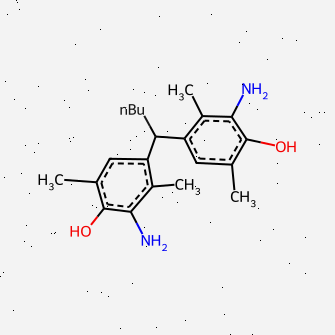 CCCCC(c1cc(C)c(O)c(N)c1C)c1cc(C)c(O)c(N)c1C